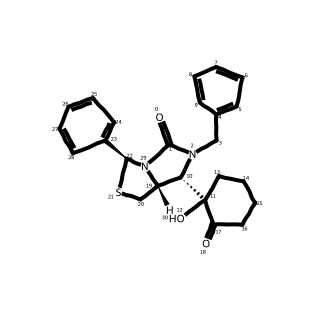 O=C1N(Cc2ccccc2)[C@H](C2(O)CCCCC2=O)[C@@H]2CS[C@@H](c3ccccc3)N12